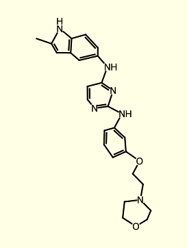 Cc1cc2cc(Nc3ccnc(Nc4cccc(OCCN5CCOCC5)c4)n3)ccc2[nH]1